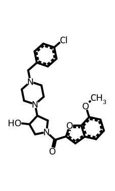 COc1cccc2cc(C(=O)N3CC(O)C(N4CCN(Cc5ccc(Cl)cc5)CC4)C3)oc12